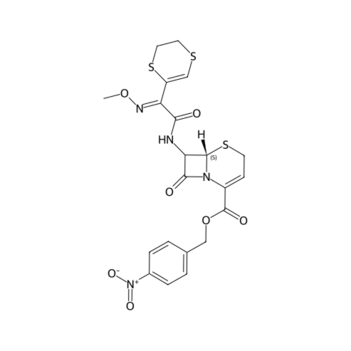 CON=C(C(=O)NC1C(=O)N2C(C(=O)OCc3ccc([N+](=O)[O-])cc3)=CCS[C@@H]12)C1=CSCCS1